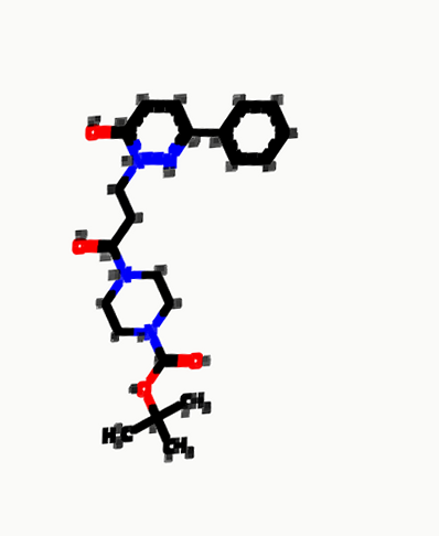 CC(C)(C)OC(=O)N1CCN(C(=O)CCn2nc(-c3ccccc3)ccc2=O)CC1